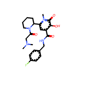 CN(C)CC(=O)N1CCCCC1c1cc(C(=O)NCc2ccc(F)cc2)c(O)c(=O)n1C